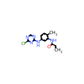 C=CC(=O)Nc1cc(Nc2ncnc(Cl)n2)ccc1C